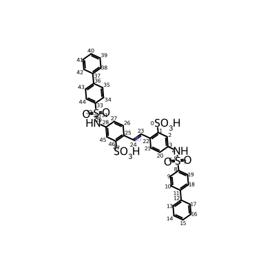 O=S(=O)(O)c1cc(NS(=O)(=O)c2ccc(-c3ccccc3)cc2)ccc1/C=C/c1ccc(NS(=O)(=O)c2ccc(-c3ccccc3)cc2)cc1S(=O)(=O)O